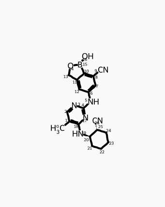 Cc1cnc(Nc2cc(C#N)c3c(c2)COB3O)nc1N[C@@H]1CCCC[C@H]1C#N